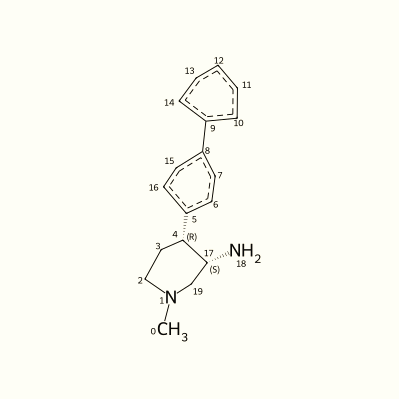 CN1CC[C@H](c2ccc(-c3ccccc3)cc2)[C@H](N)C1